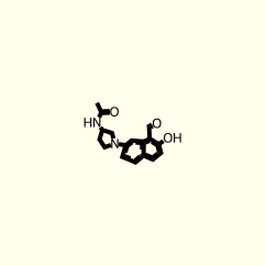 CC(=O)NC1CCN(c2ccc3ccc(O)c(C=O)c3c2)C1